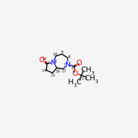 CC(C)(C)OC(=O)N1CCCN2C(=O)CCC2C1